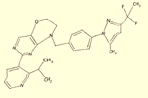 Cc1cc(C(C)(F)F)nn1-c1ccc(CN2CCOc3cnc(-c4cccnc4C(C)C)nc32)cc1